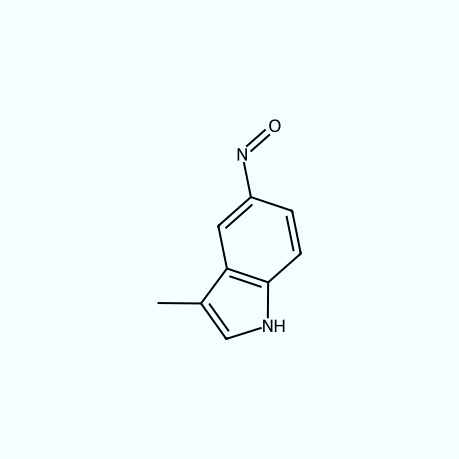 Cc1c[nH]c2ccc(N=O)cc12